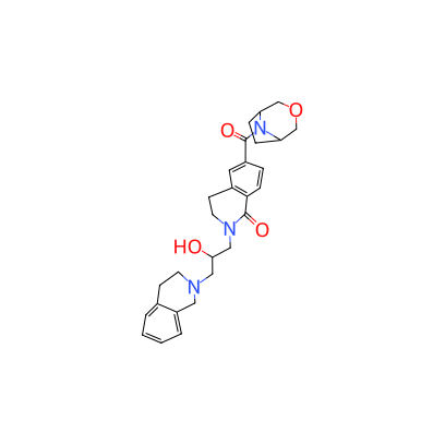 O=C1c2ccc(C(=O)N3C4CCC3COC4)cc2CCN1CC(O)CN1CCc2ccccc2C1